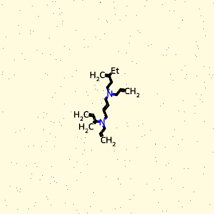 C=CCN(C/C=C/CN(CC=C)C(=C)C=C)CCC(=C)CC